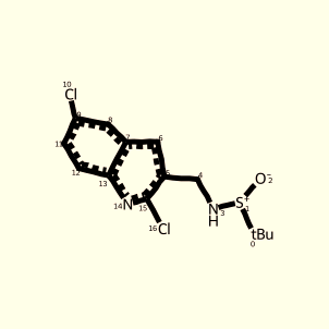 CC(C)(C)[S+]([O-])NCc1cc2cc(Cl)ccc2nc1Cl